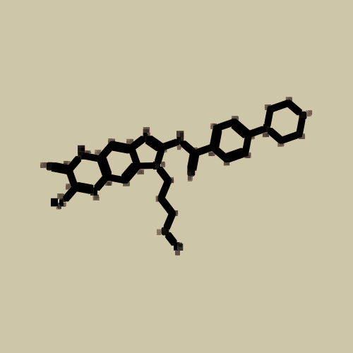 CCOCCCn1c(NC(=O)c2ccc(N3CCOCC3)cc2)nc2cc3[nH]c(=O)c(C)nc3cc21